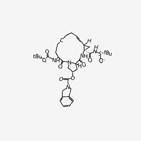 CC(C)(C)OC(=O)N[C@H]1CCCCC/C=C\[C@@H]2C[C@@]2(C(=O)N[S@@+]([O-])C(C)(C)C)NC(=O)[C@@H]2C[C@@H](OC(=O)N3Cc4ccccc4C3)CN2C1=O